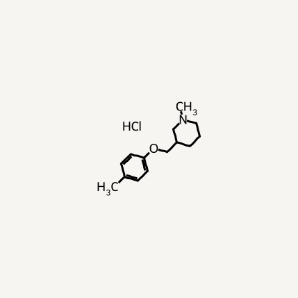 Cc1ccc(OCC2CCCN(C)C2)cc1.Cl